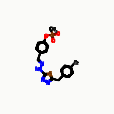 CCc1ccc(Cc2nnc(NN=Cc3ccc(OS(C)(=O)=O)cc3)s2)cc1